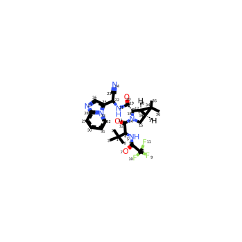 CC(C)(C)C(NC(=O)C(F)(F)F)C(=O)N1C[C@H]2[C@@H]([C@H]1C(=O)NC(C#N)c1cnc3ccccn13)C2(C)C